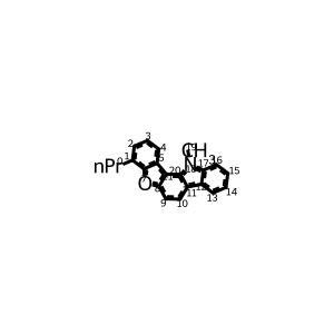 CCCc1cccc2c1oc1ccc3c4ccccc4n(C)c3c12